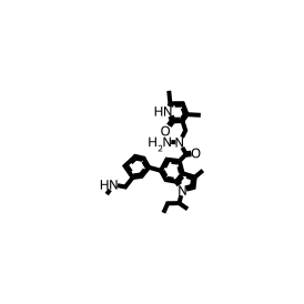 CCC(C)n1cc(C)c2c(C(=O)N(N)Cc3c(C)cc(C)[nH]c3=O)cc(-c3cccc(CNC)c3)cc21